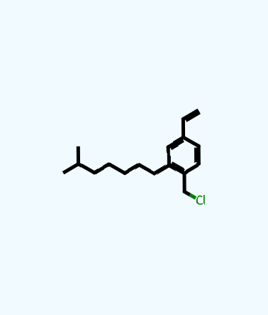 C=Cc1ccc(CCl)c(CCCCCC(C)C)c1